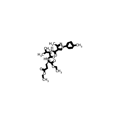 CCOC(=O)CC[C@@H](NC(=O)[C@@H](NC(=O)c1cn(-c2ccc(C)cc2)nc1C)C(C)C)C(=O)OCC